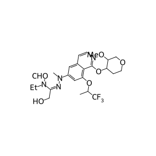 CCN(C=O)/C(CO)=N\N(C)c1cc(OC(C)C(F)(F)F)c2c(OC3CCOCC3OC)nccc2c1